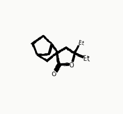 CCC1(CC)CC2(CC3CCC2C3)C(=O)O1